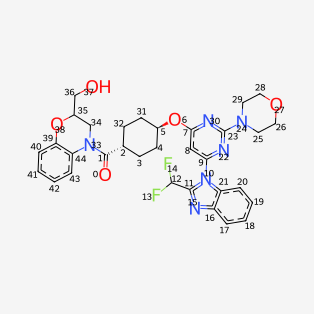 O=C([C@H]1CC[C@H](Oc2cc(-n3c(C(F)F)nc4ccccc43)nc(N3CCOCC3)n2)CC1)N1CC(CO)Oc2ccccc21